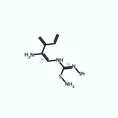 C=CC(=C)/C(N)=C\N/C(=N/C(C)C)SN